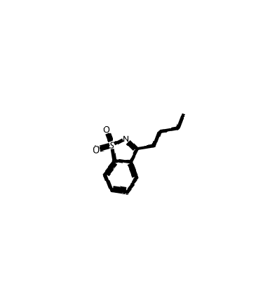 CCCCC1=NS(=O)(=O)c2ccccc21